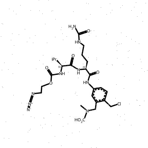 CC(C)[C@H](NC(=O)OCCN=[N+]=[N-])C(=O)N[C@@H](CCCNC(N)=O)C(=O)Nc1ccc(CCl)c(CN(C)C(=O)O)c1